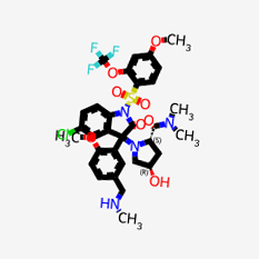 CNCc1ccc(OC)c(C2(N3C[C@H](O)C[C@H]3C(=O)N(C)C)C(=O)N(S(=O)(=O)c3ccc(OC)cc3OC(F)(F)F)c3ccc(Cl)cc32)c1